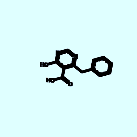 O=C(O)c1c(O)ncnc1Cc1ccccc1